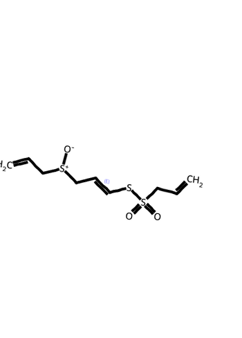 C=CC[S+]([O-])C/C=C/SS(=O)(=O)CC=C